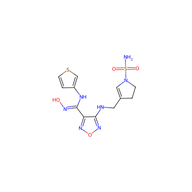 NS(=O)(=O)N1C=C(CNc2nonc2/C(=N/O)Nc2ccsc2)CC1